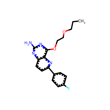 CCCOCCOc1nc(N)nc2ccc(-c3ccc(F)cc3)nc12